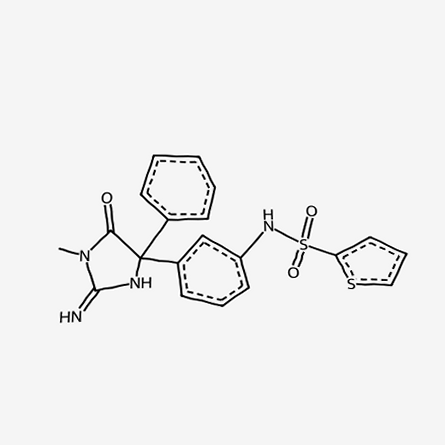 CN1C(=N)NC(c2ccccc2)(c2cccc(NS(=O)(=O)c3cccs3)c2)C1=O